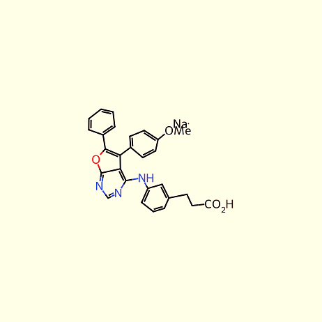 COc1ccc(-c2c(-c3ccccc3)oc3ncnc(Nc4cccc(CCC(=O)O)c4)c23)cc1.[Na]